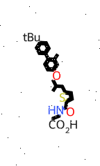 Cc1cc(OCC(C)Cc2ccc(C(=O)NCCC(=O)O)s2)ccc1-c1ccc(C(C)(C)C)cc1